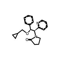 O=C1CCCN1[C@H](c1ccccn1)[C@@H](OCC1CC1)c1ccccc1